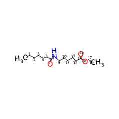 CCCCCCC(=O)NCCCCCC(=O)OCC